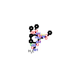 CNC(=O)CNC(=O)[C@@H]1Cc2cc(ccc2Cl)-c2ccc(OCc3ccccc3)c(c2)C[C@H](NC(=O)OCc2ccccc2)C(=O)N[C@@H](C[C@H](CNC(=O)OCc2ccccc2)OS)C(=O)N1